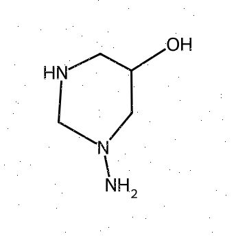 NN1CNCC(O)C1